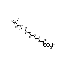 CC(=CCCCCCCCCCCN(C)C)C(=O)O